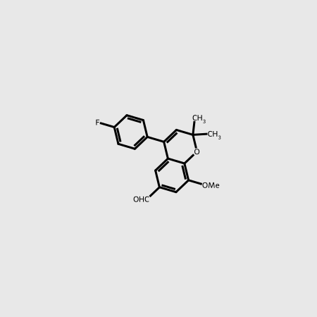 COc1cc(C=O)cc2c1OC(C)(C)C=C2c1ccc(F)cc1